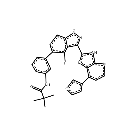 CC(C)(C)C(=O)Nc1cncc(-c2ncc3[nH]nc(-c4nc5c(-c6ccsc6)ccnc5[nH]4)c3c2F)c1